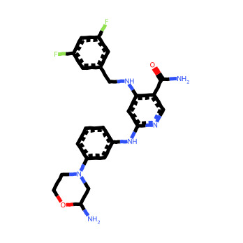 NC(=O)c1cnc(Nc2cccc(N3CCOC(N)C3)c2)cc1NCc1cc(F)cc(F)c1